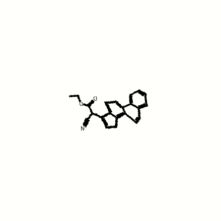 CCOC(=O)C(C#N)C1=CCc2c1ccc1c2ccc2ccccc21